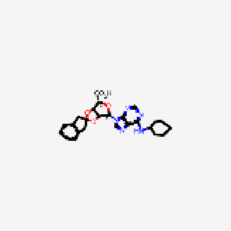 O=C(O)[C@H]1O[C@@H](n2cnc3c(NC4CCCCC4)ncnc32)C2OC3(Cc4ccccc4C3)OC21